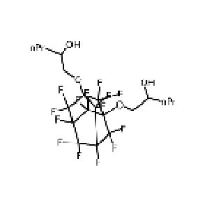 CCCC(O)COC12C(F)(F)C3(F)C(F)(F)C(F)(C1(F)F)C(F)(F)C(OCC(O)CCC)(C3(F)F)C2(F)F